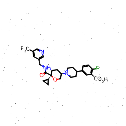 O=C(O)c1cc(C2CCN([C@@H]3CC[C@@](C(=O)NCc4cncc(C(F)(F)F)c4)(C4CC4)OC3)CC2)ccc1F